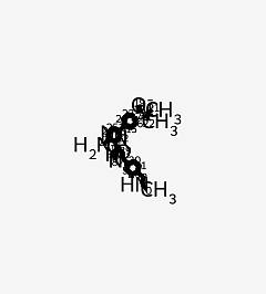 CNCc1ccc(-c2nnc(-c3nc(-c4ccc([S+]([O-])C(C)C)cc4)cnc3N)o2)cc1